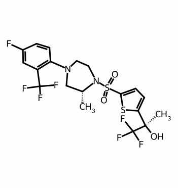 C[C@@H]1CN(c2ccc(F)cc2C(F)(F)F)CCN1S(=O)(=O)c1ccc([C@@](C)(O)C(F)(F)F)s1